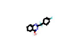 Oc1nc(C(F)(F)c2ccc(F)cc2)nc2ccccc12